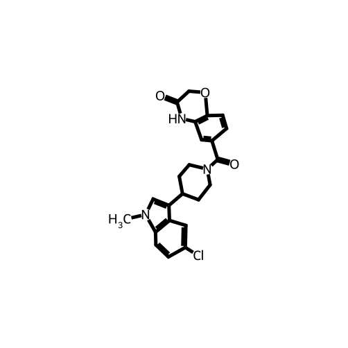 Cn1cc(C2CCN(C(=O)c3ccc4c(c3)NC(=O)CO4)CC2)c2cc(Cl)ccc21